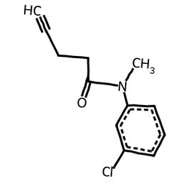 C#CCCC(=O)N(C)c1cccc(Cl)c1